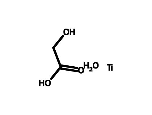 O.O=C(O)CO.[Ti]